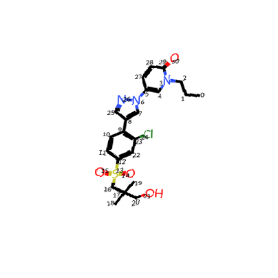 CCCn1cc(-n2cc(-c3ccc(S(=O)(=O)CC(C)(C)CO)cc3Cl)cn2)ccc1=O